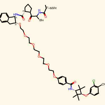 CN[C@@H](C)C(=O)NC(C(=O)C1CCC[C@H]1C(=O)N[C@H]1c2ccccc2C[C@H]1OCCOCCOCCOCCOCCOc1ccc(C(=O)N[C@H]2C(C)(C)[C@H](Oc3ccc(C#N)c(Cl)c3)C2(C)C)cc1)C(C)(C)C